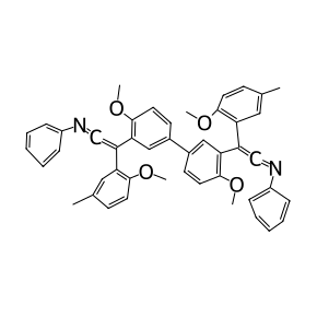 COc1ccc(C)cc1C(=C=Nc1ccccc1)c1cc(-c2ccc(OC)c(C(=C=Nc3ccccc3)c3cc(C)ccc3OC)c2)ccc1OC